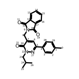 Cc1ccc(-c2cc(CN3C(=O)c4ccccc4C3=O)c(=O)n(CC(C)C)n2)cc1